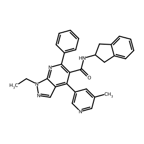 CCn1ncc2c(-c3cncc(C)c3)c(C(=O)NC3Cc4ccccc4C3)c(-c3ccccc3)nc21